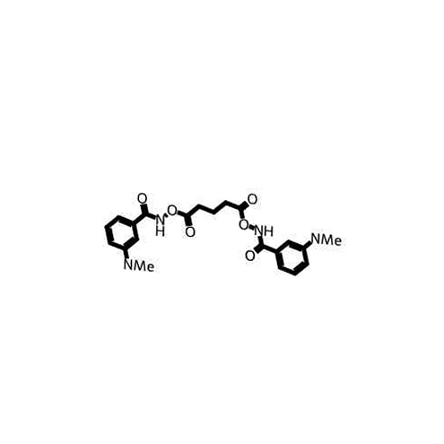 CNc1cccc(C(=O)NOC(=O)CCCC(=O)ONC(=O)c2cccc(NC)c2)c1